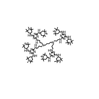 CN1C(C)(C)CC(Nc2nc(NCCCN(CCCCN(CCCNc3nc(NC4CC(C)(C)N(C)C(C)(C)C4)nc(NC4CC(C)(C)N(C)C(C)(C)C4)n3)CCCNc3nc(NC4CC(C)(C)N(C)C(C)(C)C4)nc(NC4CC(C)(C)N(C)C(C)(C)C4)n3)CCCNc3nc(NC4CC(C)(C)N(C)C(C)(C)C4)nc(NC4CC(C)(C)N(C)C(C)(C)C4)n3)nc(NC3CC(C)(C)N(C)C(C)(C)C3)n2)CC1(C)C